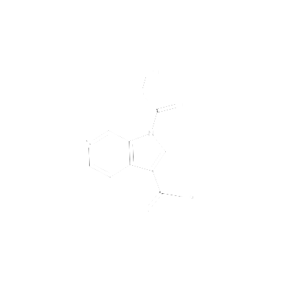 CCCCC(=O)c1cn(C(=O)OC(C)(C)C)c2cnccc12